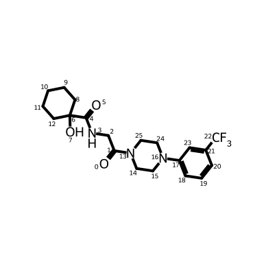 O=C(CNC(=O)C1(O)CCCCC1)N1CCN(c2cccc(C(F)(F)F)c2)CC1